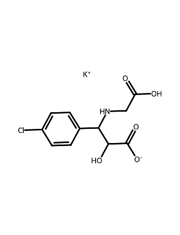 O=C(O)CNC(c1ccc(Cl)cc1)C(O)C(=O)[O-].[K+]